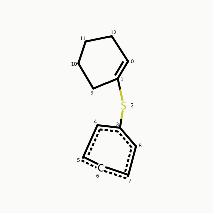 C1=C(Sc2ccccc2)CCCC1